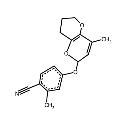 CC1=CC(Oc2ccc(C#N)c(C)c2)OC2=C1OCCC2